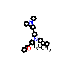 CC1(C)c2ccccc2-c2ccc(N(c3ccc(-c4ccc5c(c4)c4ccccc4n5-c4ccccc4)cc3)c3ccc(-c4cc5ccccc5o4)cc3)cc21